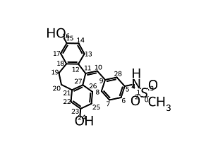 CS(=O)(=O)Nc1cccc(C=C2c3ccc(O)cc3CCc3cc(O)ccc32)c1